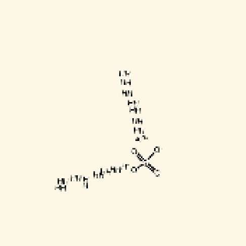 O=S(=O)([O-])[O-].[Al+3].[H-].[HH].[HH].[HH].[HH].[HH].[HH].[HH].[HH].[HH].[HH].[HH].[HH].[HH].[HH]